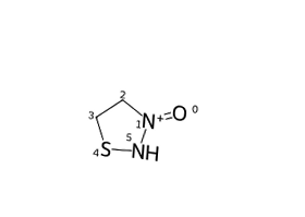 O=[N+]1CCSN1